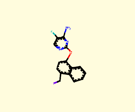 Nc1nc(Oc2ccc(CI)c3ccccc23)ncc1F